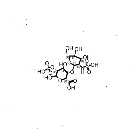 O=C(O)[C@@H]1OC(O)[C@H](OS(=O)(=O)O)[C@@H](O)[C@@H]1O[C@H]1O[C@H](CO)[C@@H](O)[C@H](O)[C@H]1NS(=O)(=O)O